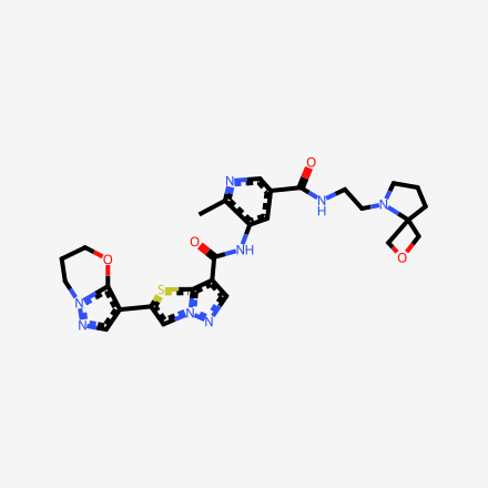 Cc1ncc(C(=O)NCCN2CCCC23COC3)cc1NC(=O)c1cnn2cc(-c3cnn4c3OCCC4)sc12